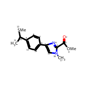 COC(=O)c1nc(-c2ccc(C(C)SC)cc2)cn1C